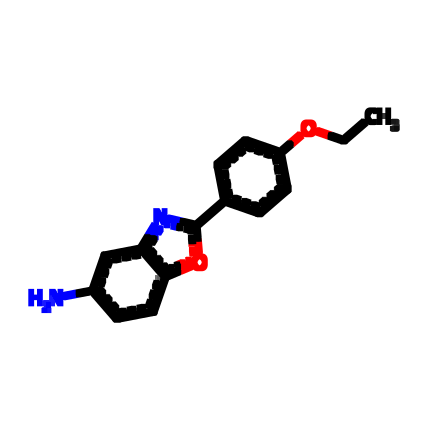 CCOc1ccc(-c2nc3cc(N)ccc3o2)cc1